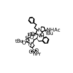 CCCS(=O)(=O)[C@@H]1C[C@H]([C@@H](O[Si](C)(C)C(C)(C)C)[C@H](Cc2ccccc2)NC(=O)C(CCc2ccccc2)N2CCC(NC(C)=O)([C@H](C)CC)C2=O)N(C(=O)OC(C)(C)C)C1